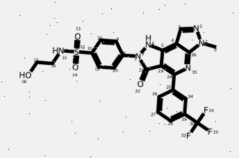 Cn1ncc2c3[nH]n(-c4ccc(S(=O)(=O)NCCO)cc4)c(=O)c3c(-c3cccc(C(F)(F)F)c3)nc21